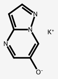 [K+].[O-]c1cnc2ccnn2c1